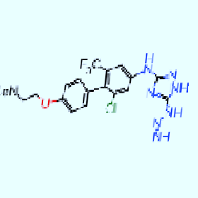 CNCCOc1ccc(-c2c(Cl)cc(Nc3n[nH]c(NN=N)n3)cc2C(F)(F)F)cc1